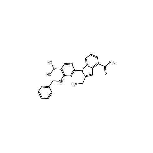 NCc1cc2c(C(N)=O)cccc2n1-c1ncc(B(O)O)c(NCc2ccccc2)n1